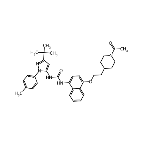 CC(=O)N1CCC(CCOc2ccc(NC(=O)Nc3cc(C(C)(C)C)nn3-c3ccc(C)cc3)c3ccccc23)CC1